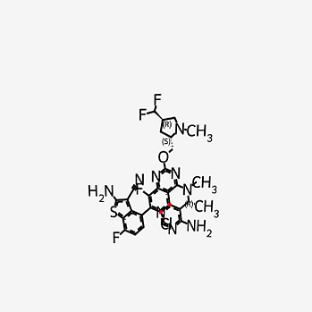 C[C@H](c1cncnc1N)N(C)c1nc(OC[C@@H]2C[C@@H](C(F)F)CN2C)nc2c(F)c(-c3ccc(F)c4sc(N)c(C#N)c34)c(Cl)cc12